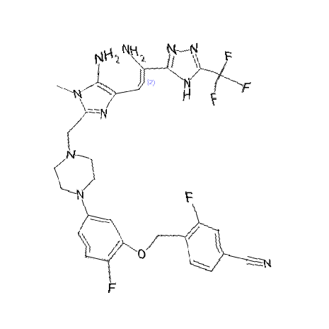 Cn1c(CN2CCN(c3ccc(F)c(OCc4ccc(C#N)cc4F)c3)CC2)nc(/C=C(\N)c2nnc(C(F)(F)F)[nH]2)c1N